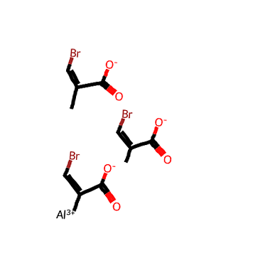 CC(=CBr)C(=O)[O-].CC(=CBr)C(=O)[O-].CC(=CBr)C(=O)[O-].[Al+3]